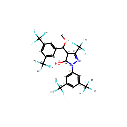 COC(c1cc(C(F)(F)F)cc(C(F)(F)F)c1)C1C(C(F)(F)F)=NN(c2cc(C(F)(F)F)cc(C(F)(F)F)c2)C1O